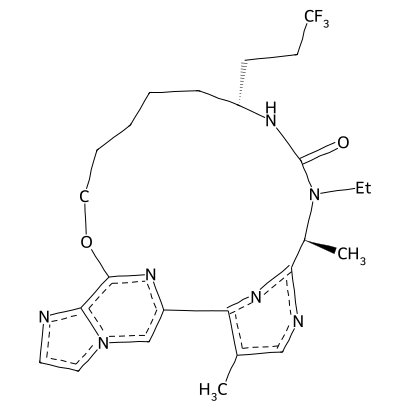 CCN1C(=O)N[C@@H](CCC(F)(F)F)CCCCCOc2nc(cn3ccnc23)-c2nc(ncc2C)[C@@H]1C